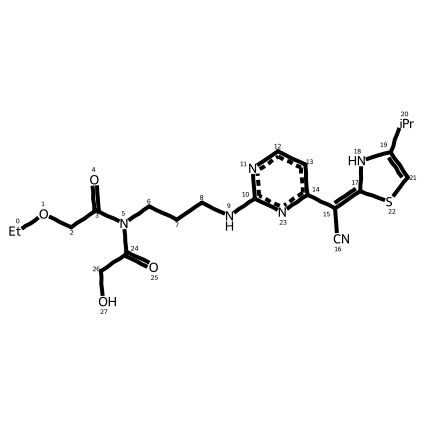 CCOCC(=O)N(CCCNc1nccc(C(C#N)=C2NC(C(C)C)=CS2)n1)C(=O)CO